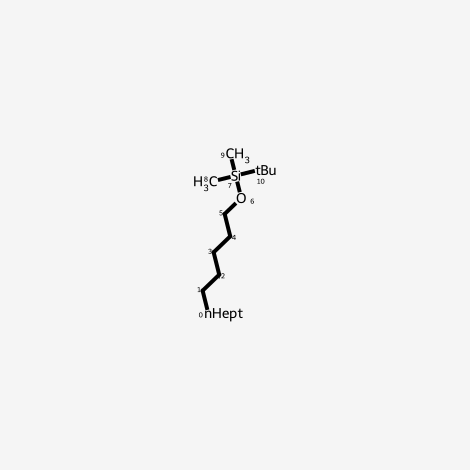 CCCCCCCC[CH]CCCO[Si](C)(C)C(C)(C)C